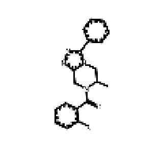 CC1Cn2c(nnc2-c2ccccc2)CN1C(=O)c1ccccc1Cl